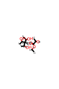 CCC(C(C)O)(C(C)O)C(C)O.CCOC(=O)C(C)=O